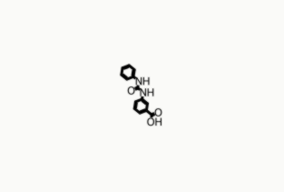 O=C(Nc1ccccc1)Nc1cccc(C(=O)O)c1